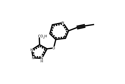 CC#Cc1cc(Oc2[nH]nnc2C(=O)O)ccn1